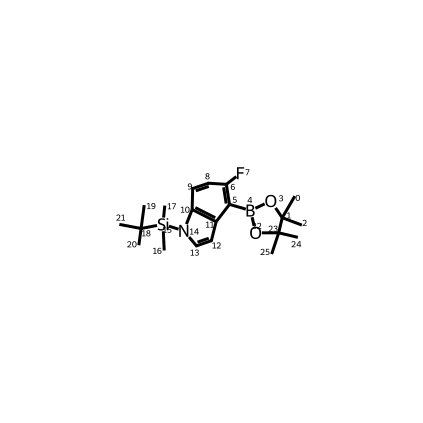 CC1(C)OB(c2c(F)ccc3c2ccn3[Si](C)(C)C(C)(C)C)OC1(C)C